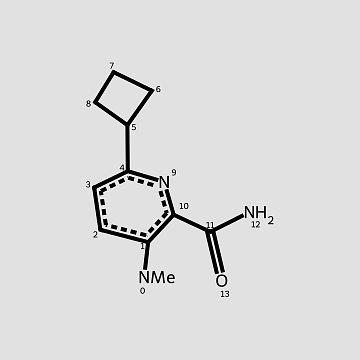 CNc1ccc(C2CCC2)nc1C(N)=O